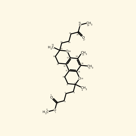 COC(=O)CCCC1(C)CCc2c3c(c(C)c(C)c2O1)OC(C)(CCCC(=O)OC)CC3